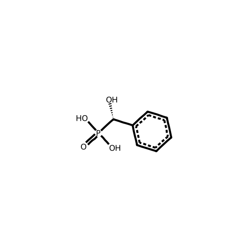 O=P(O)(O)[C@H](O)c1ccccc1